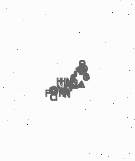 COC[C@@H]1CN(CC=CC(=O)Nc2cc3c(Nc4ccc(F)c(Cl)c4)ncnc3cc2OCC2CC2)CC(=O)O1